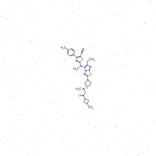 CCc1nc2sc(N3CC[C@H](N(C)CC(=O)N4CC(C)C4)C3)nn2c1N(C)c1nc(-c2ccc(C)cc2)c(C#N)s1